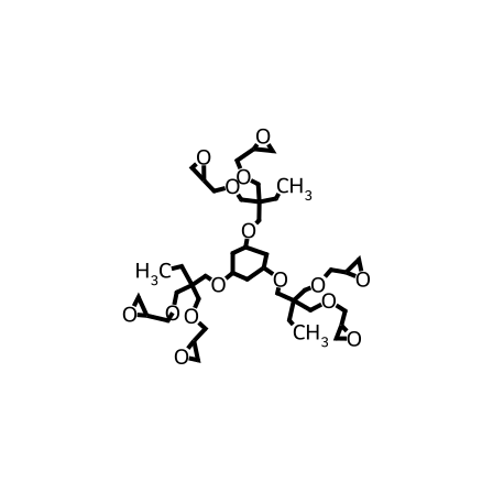 CCC(COCC1CO1)(COCC1CO1)COC1CC(OCC(CC)(COCC2CO2)COCC2CO2)CC(OCC(CC)(COCC2CO2)COCC2CO2)C1